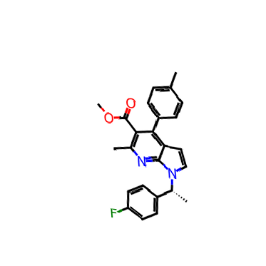 COC(=O)c1c(C)nc2c(ccn2[C@H](C)c2ccc(F)cc2)c1-c1ccc(C)cc1